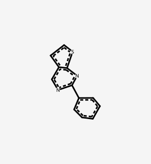 c1ccc(-c2ncc3ccsc3n2)cc1